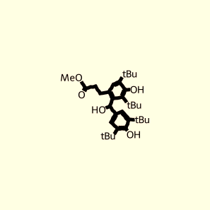 COC(=O)CCc1cc(C(C)(C)C)c(O)c(C(C)(C)C)c1C(O)c1cc(C(C)(C)C)c(O)c(C(C)(C)C)c1